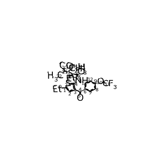 CCc1cc(C(=O)c2ccc(OC(F)(F)F)cc2)c(NC(=O)S(C)(CC)C(C)C(=O)O)s1